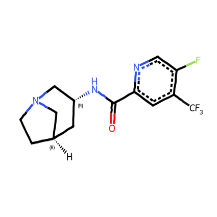 O=C(N[C@@H]1C[C@H]2CCN(C2)C1)c1cc(C(F)(F)F)c(F)cn1